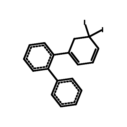 IC1(I)C=CC=C(c2ccccc2-c2ccccc2)C1